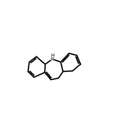 C1=CCC2CC=C3C=CC=CC3NC2=C1